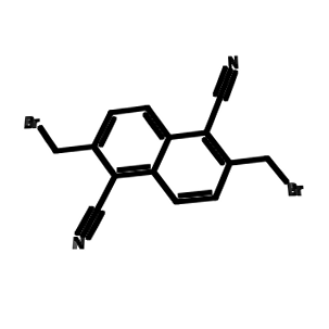 N#Cc1c(CBr)ccc2c(C#N)c(CBr)ccc12